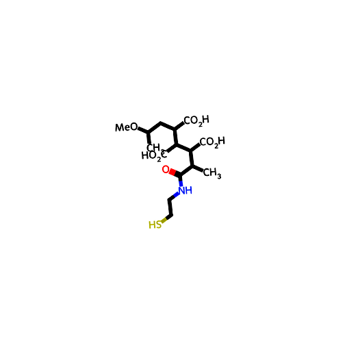 COC(C)CC(C(=O)O)C(C(=O)O)C(C(=O)O)C(C)C(=O)NCCS